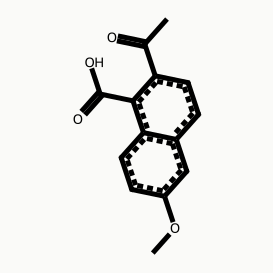 COc1ccc2c(C(=O)O)c(C(C)=O)ccc2c1